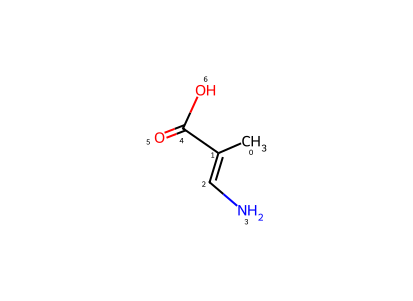 C/C(=C\N)C(=O)O